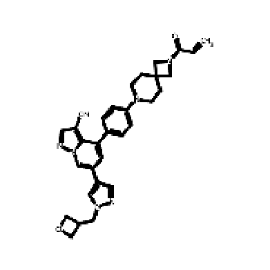 C=CC(=O)N1CC2(CCN(c3ccc(-c4cc(-c5cnn(CC6COC6)c5)cn5ncc(C#N)c45)cc3)CC2)C1